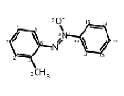 Cc1ccccc1N=[N+]([O-])c1ccccc1